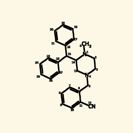 CN1CCN(Cc2ccccc2C#N)CC1C(c1ccccc1)c1ccccc1